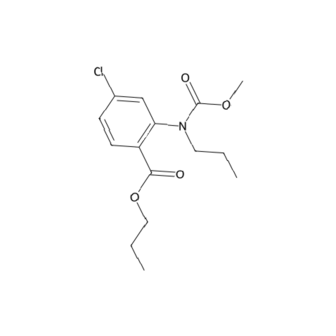 CCCOC(=O)c1ccc(Cl)cc1N(CCC)C(=O)OC